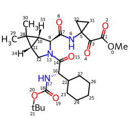 COC(=O)C(=O)C1(NC(=O)[C@@H]2[C@@H]3[C@H](CN2C(=O)[C@@H](NC(=O)OC(C)(C)C)C2CCCCC2)C3(C)C)CC1